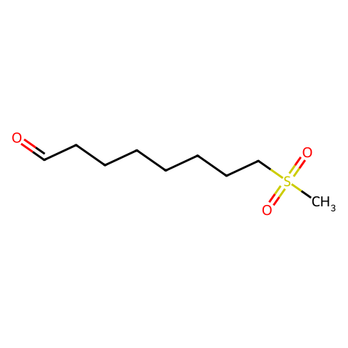 CS(=O)(=O)CCCCCCCC=O